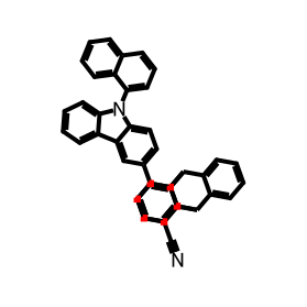 N#Cc1ccc(-c2ccc3c(c2)c2ccccc2n3-c2cccc3ccccc23)c2c1C1c3ccccc3C2c2ccccc21